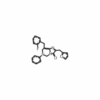 O=C1C(Cc2ccco2)=NC2=C(Cc3ccccc3F)CN(c3ccccc3)CN12